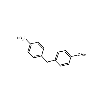 COc1ccc(Sc2ccc(C(=O)O)cc2)cc1